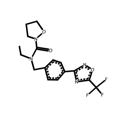 CCN(Cc1ccc(-c2noc(C(F)(F)F)n2)cc1)C(=O)N1CCCO1